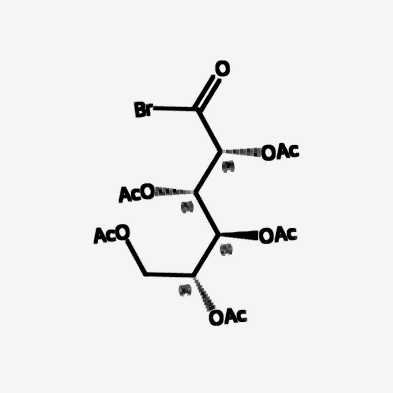 CC(=O)OC[C@@H](OC(C)=O)[C@H](OC(C)=O)[C@H](OC(C)=O)[C@@H](OC(C)=O)C(=O)Br